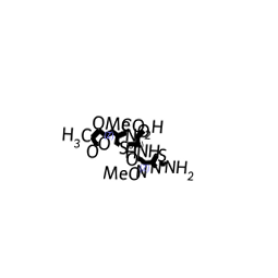 CO/N=C(\C(=O)N[C@@H]1C(=O)N2C(C(=O)O)=C(/C=C3\OC(=O)C(C)=C3OC)CS[C@@H]12)c1csc(N)n1